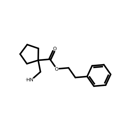 [NH]CC1(C(=O)OCCc2ccccc2)CCCC1